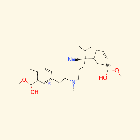 C=C/C(=C\C(CC)C(O)OC)CCN(C)CCCC(C#N)(C(C)C)C1CC=C[C@H](C(O)OC)C1